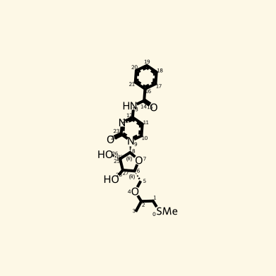 CSCC(C)OC[C@H]1O[C@@H](n2ccc(NC(=O)c3ccccc3)nc2=O)[C@@H](O)C1O